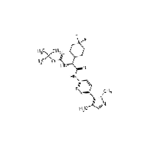 Cc1cnn(C)c1-c1ccc(NC(=O)[C@@H](NC(=O)OC(C)(C)C)C2CCC(F)(F)CC2)nc1